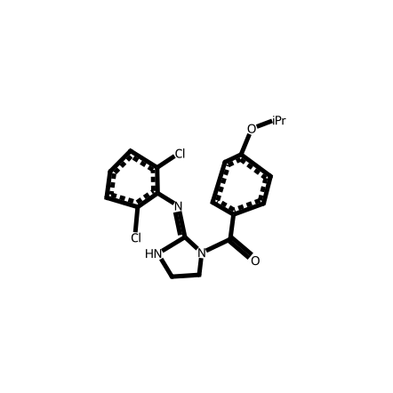 CC(C)Oc1ccc(C(=O)N2CCNC2=Nc2c(Cl)cccc2Cl)cc1